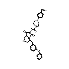 COc1ccc(N2CCN(C(=O)ON3C(=O)C4CNCC(Cc5cccc(Oc6ccccc6)c5)N4C3=O)CC2)cc1